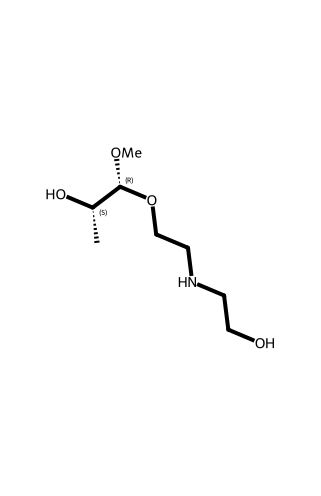 CO[C@H](OCCNCCO)[C@H](C)O